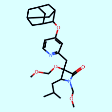 COCOC1(Cc2cc(OC3C4CC5CC(C4)CC3C5)ccn2)C(=O)N(COC)C1CC(C)C